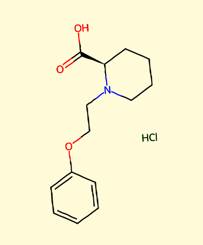 Cl.O=C(O)[C@H]1CCCCN1CCOc1ccccc1